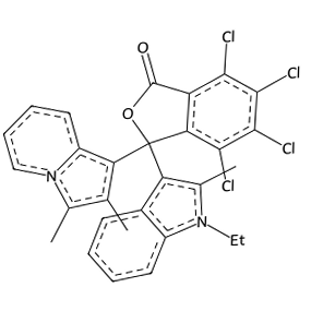 CCn1c(C)c(C2(c3c(C)c(C)n4ccccc34)OC(=O)c3c(Cl)c(Cl)c(Cl)c(Cl)c32)c2ccccc21